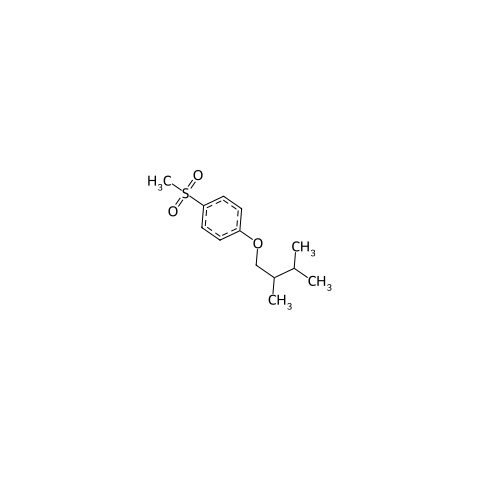 CC(C)C(C)COc1ccc(S(C)(=O)=O)cc1